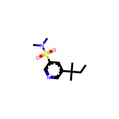 CCC(C)(C)c1cncc(S(=O)(=O)N(C)C)c1